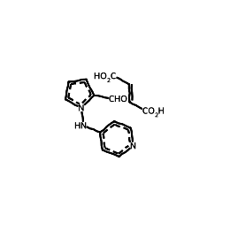 O=C(O)C=CC(=O)O.O=Cc1cccn1Nc1ccncc1